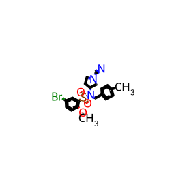 COc1ccc(Br)cc1S(=O)(=O)N(Cc1ccc(C)cc1)[C@@H]1CCN(C#N)C1